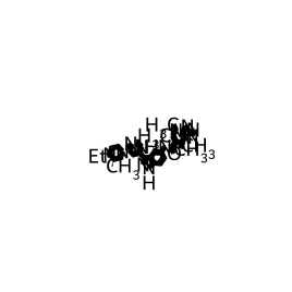 CCN1CCN(c2cc(-c3n[nH]c4ccc(NC(=O)C5=C(C)N(C)c6nnnn6C5(C)C)cc34)ncn2)C[C@@H]1C